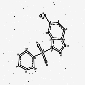 O=[N+]([O-])c1ccc2nnn(S(=O)(=O)c3ccccc3)c2c1